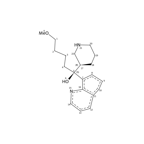 COCCCC[C@@](O)(c1cccc2cccnc12)[C@@H]1CCCNC1